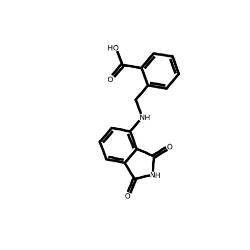 O=C(O)c1ccccc1CNc1cccc2c1C(=O)NC2=O